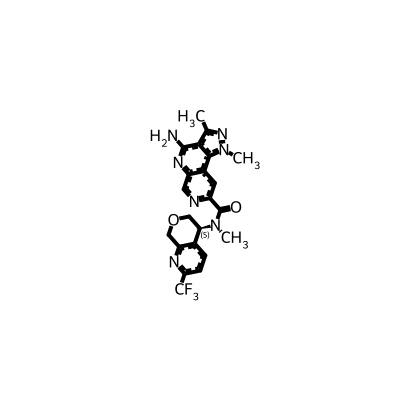 Cc1nn(C)c2c1c(N)nc1cnc(C(=O)N(C)[C@@H]3COCc4nc(C(F)(F)F)ccc43)cc12